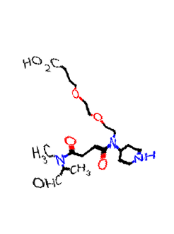 CC(C=O)N(C)C(=O)CCC(=O)N(CCOCCOCCCC(=O)O)C1CCNCC1